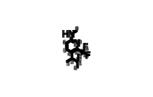 CCC(C)c1ccc(NC)nc1C(F)(F)F